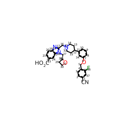 N#Cc1ccc(COc2cccc(C3CCN(Cc4nc5ccc(C(=O)O)cc5n4C[C@@H]4CCO4)CC3)c2)c(F)c1